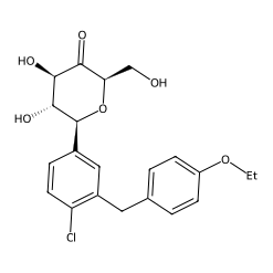 CCOc1ccc(Cc2cc([C@@H]3O[C@H](CO)C(=O)[C@H](O)[C@H]3O)ccc2Cl)cc1